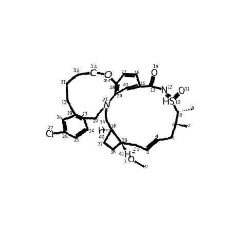 CO[C@H]1/C=C/C[C@H](C)[C@@H](C)/[SH](=O)=N\C(=O)c2ccc3c(c2)N(Cc2ccc(Cl)cc2CCCCO3)C[C@@H]2CC[C@H]21